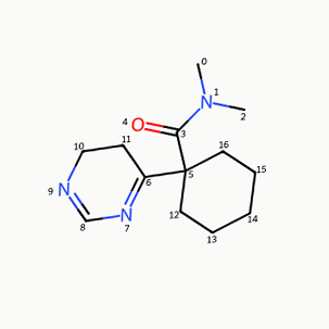 CN(C)C(=O)C1(C2=NC=NCC2)CCCCC1